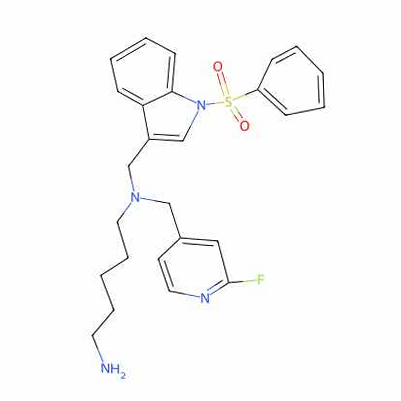 NCCCCCN(Cc1ccnc(F)c1)Cc1cn(S(=O)(=O)c2ccccc2)c2ccccc12